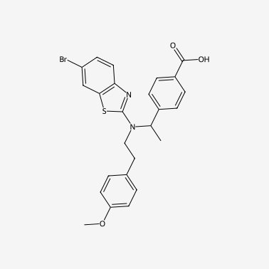 COc1ccc(CCN(c2nc3ccc(Br)cc3s2)C(C)c2ccc(C(=O)O)cc2)cc1